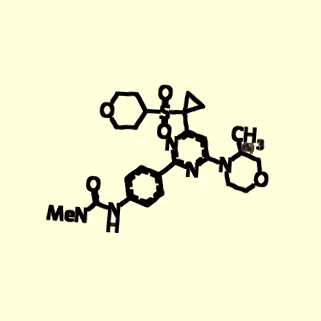 CNC(=O)Nc1ccc(-c2nc(N3CCOC[C@@H]3C)cc(C3(S(=O)(=O)C4CCOCC4)CC3)n2)cc1